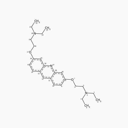 CCN(CC)CCOc1ccc2cc3ccc(OCCN(CC)CC)cc3nc2c1